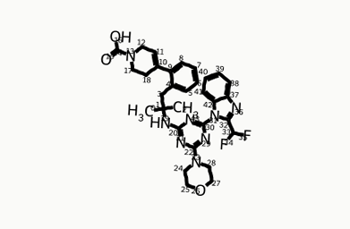 CC(C)(Cc1ccccc1C1=CCN(C(=O)O)CC1)Nc1nc(N2CCOCC2)nc(-n2c(C(F)F)nc3ccccc32)n1